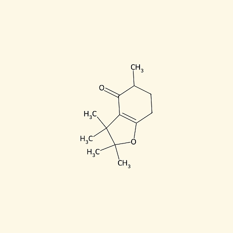 CC1CCC2=C(C1=O)C(C)(C)C(C)(C)O2